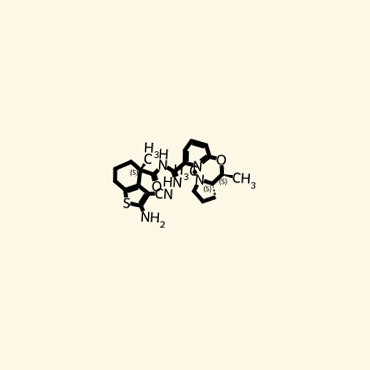 C[C@H](Oc1cccc(C(=N)NC(=O)[C@@]2(C)CCCc3sc(N)c(C#N)c32)n1)[C@@H]1CCCN1C